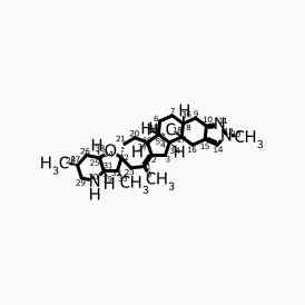 CC1=C2C[C@H]3[C@@H](CC[C@@H]4Cc5nn(C)cc5C[C@@]43C)[C@@H]2CC[C@@]2(C1)O[C@@H]1C[C@H](C)CN[C@H]1[C@H]2C